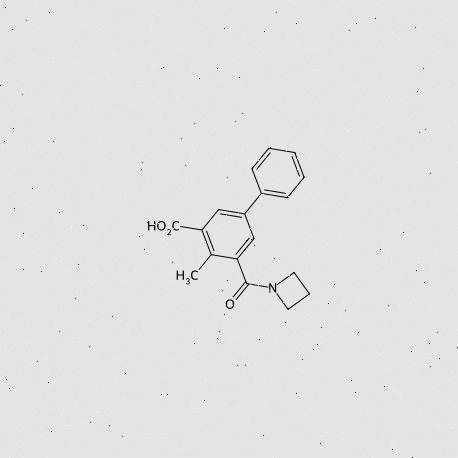 Cc1c(C(=O)O)cc(-c2ccccc2)cc1C(=O)N1CCC1